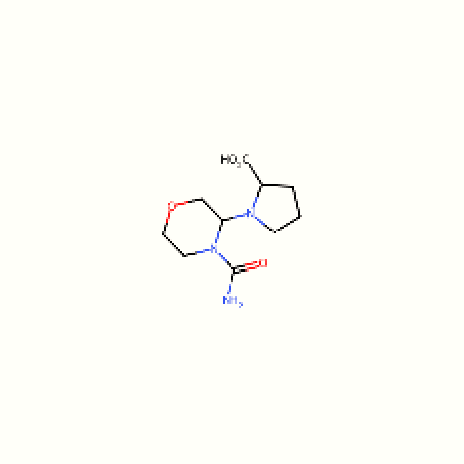 NC(=O)N1CCOCC1N1CCCC1C(=O)O